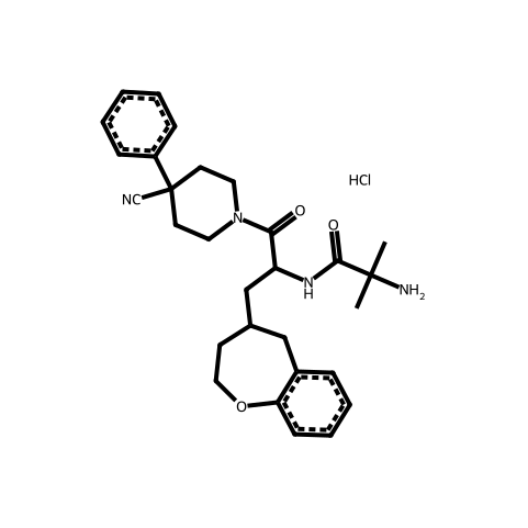 CC(C)(N)C(=O)NC(CC1CCOc2ccccc2C1)C(=O)N1CCC(C#N)(c2ccccc2)CC1.Cl